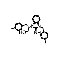 Cc1ccc(C[C@H](CO)n2c(=N)n(Cc3ccc(C)cc3)c3ccccc32)cc1